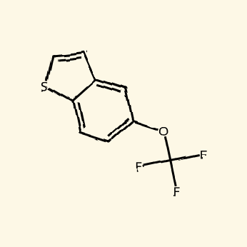 FC(F)(F)Oc1ccc2sc[c]c2c1